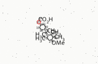 COc1cc(C)c(C(C)(C)c2ccc(OC(=O)O)cc2)c(C)c1C